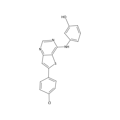 Oc1cccc(Nc2ncnc3cc(-c4ccc(Cl)cc4)sc23)c1